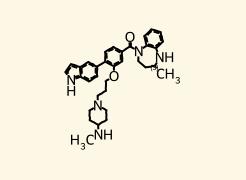 CNC1CCN(CCCOc2cc(C(=O)N3CC[C@H](C)Nc4ccccc43)ccc2-c2ccc3[nH]ccc3c2)CC1